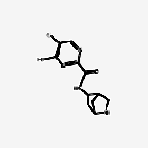 O=C(NC1CC2CC1CN2)c1ncc(Cl)c(O)n1